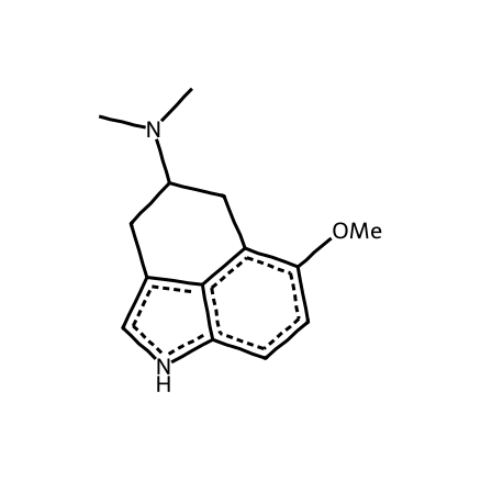 COc1ccc2[nH]cc3c2c1CC(N(C)C)C3